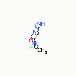 Cc1cc(F)c2nc(C3=Cc4ccc(N5CCCNCC5)nc4CCC3=O)cn2c1